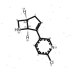 Clc1ccc(C2=CC[C@@H]3CN[C@H]23)cn1